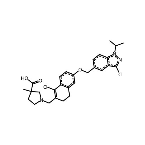 CC(C)n1nc(Cl)c2cc(COc3ccc4c(c3)CCC(CN3CCC(C)(C(=O)O)C3)=C4Cl)ccc21